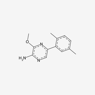 COc1nc(-c2cc(C)ccc2C)cnc1N